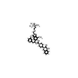 Cc1cc(C(Cc2cc(C(=O)O)ccn2)OC(=O)N2CCC(N3Cc4ccccc4NC3=O)CC2)cc2cn(COCC[Si](C)(C)C)nc12